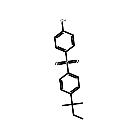 CCC(C)(C)c1ccc(S(=O)(=O)c2ccc(O)cc2)cc1